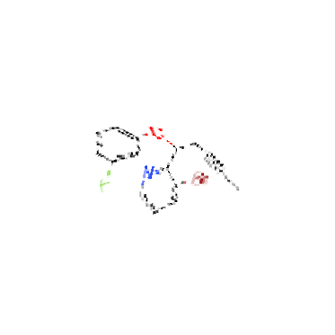 CC#CCC(Oc1cccc(F)c1)c1ncccc1Br